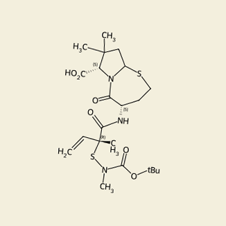 C=C[C@@](C)(SN(C)C(=O)OC(C)(C)C)C(=O)N[C@H]1CCSC2CC(C)(C)[C@@H](C(=O)O)N2C1=O